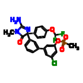 CN1C(=O)C(c2ccc(OC(F)F)cc2)(c2cccc(-c3cc(Cl)cc(OS(C)(=O)=O)c3)c2)N=C1N